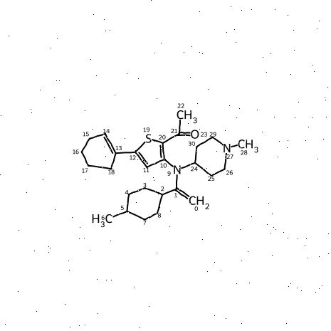 C=C(C1CCC(C)CC1)N(c1cc(C2=CCCCC2)sc1C(C)=O)C1CCN(C)CC1